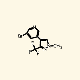 Cn1cc(-c2cncc(Br)c2)c(C(F)(F)F)n1